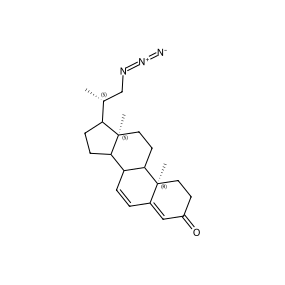 C[C@H](CN=[N+]=[N-])C1CCC2C3C=CC4=CC(=O)CC[C@]4(C)C3CC[C@@]21C